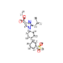 CCOC(=O)c1cn(-c2ccc(-c3cccc(S(C)(=O)=O)c3)cc2)c(CC(C)C)n1